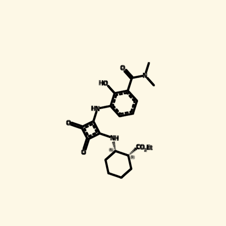 CCOC(=O)[C@@H]1CCCC[C@@H]1Nc1c(Nc2cccc(C(=O)N(C)C)c2O)c(=O)c1=O